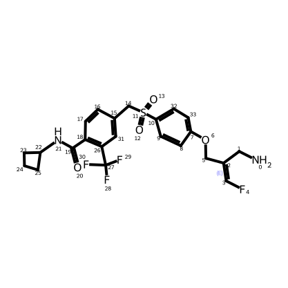 NC/C(=C\F)COc1ccc(S(=O)(=O)Cc2ccc(C(=O)NC3CCC3)c(C(F)(F)F)c2)cc1